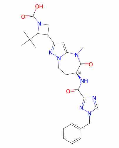 CN1C(=O)[C@@H](NC(=O)c2ncn(Cc3ccccc3)n2)CCn2nc(C3CN(C(=O)O)C3C(C)(C)C)cc21